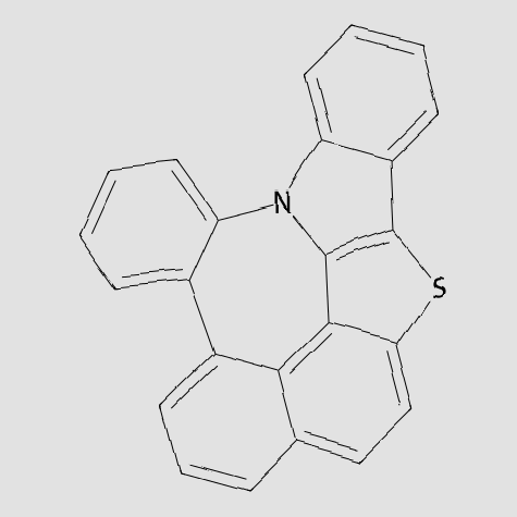 c1cc2ccc3sc4c5ccccc5n5c6ccccc6c(c1)c2c3c45